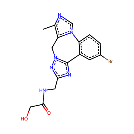 Cc1ncn2c1Cn1nc(CNC(=O)CO)nc1-c1cc(Br)ccc1-2